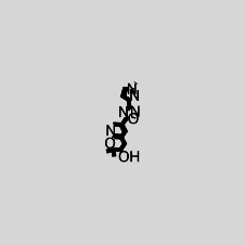 Cn1ccc(-c2noc(-c3cnc4c(c3)C[C@@H](O)C(C)(C)O4)n2)n1